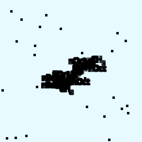 CCCCCCCCc1c2cc(-c3ccc(-c4cc5c(CCCCCCCC)c6sc(-c7sc(C)c8c7C(=O)N(C(CC(CC)CCCC)CC(CC)CCCC)C8=O)cc6c(CCCCCCCC)c5s4)c4nsnc34)sc2c(CCCCCCCC)c2cc(C)sc12